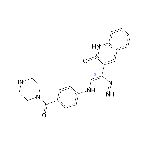 N=N/C(=C\Nc1ccc(C(=O)N2CCNCC2)cc1)c1cc2ccccc2[nH]c1=O